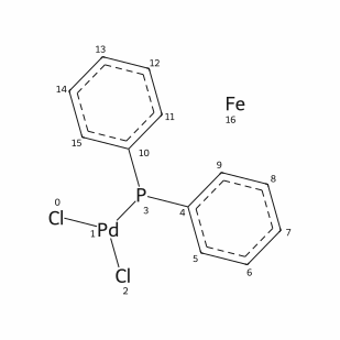 [Cl][Pd]([Cl])[P](c1ccccc1)c1ccccc1.[Fe]